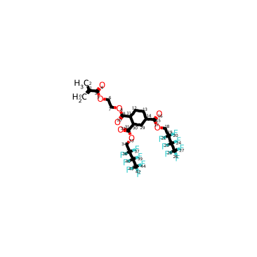 C=C(C)C(=O)OCCOC(=O)C1CCC(C(=O)OCC(F)(F)C(F)(F)C(F)(F)F)CC1C(=O)OCC(F)(F)C(F)(F)C(F)(F)F